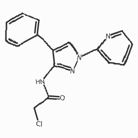 O=C(CCl)Nc1nn(-c2ccccn2)cc1-c1ccccc1